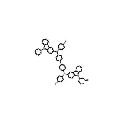 C=C/C=C(\C=C/C)n1c2ccccc2c2cc(N(c3ccc(F)cc3)c3ccc(-c4ccc(N(c5ccc(F)cc5)c5ccc6c(c5)c5ccccc5n6-c5ccccc5)cc4)cc3)ccc21